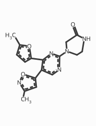 Cc1cc(-c2cnc(N3CCNC(=O)C3)nc2-c2ccc(C)o2)on1